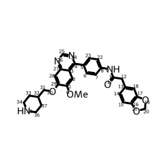 COc1cc2c(-c3ccc(NC(=O)Cc4ccc5c(c4)OCO5)cc3)ncnc2cc1OCC1CCNCC1